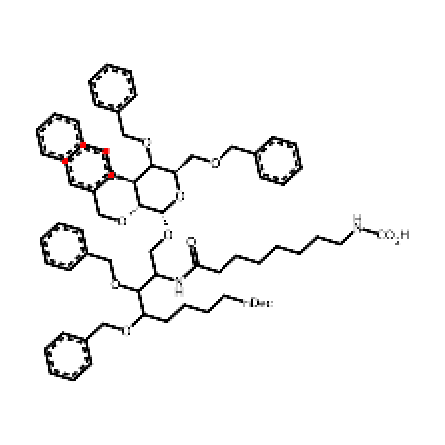 CCCCCCCCCCCCCCC(OCc1ccccc1)C(OCc1ccccc1)C(CO[C@H]1O[C@H](COCc2ccccc2)[C@H](OCc2ccccc2)[C@H](OCc2ccccc2)[C@H]1OCc1ccccc1)NC(=O)CCCCCCCNC(=O)O